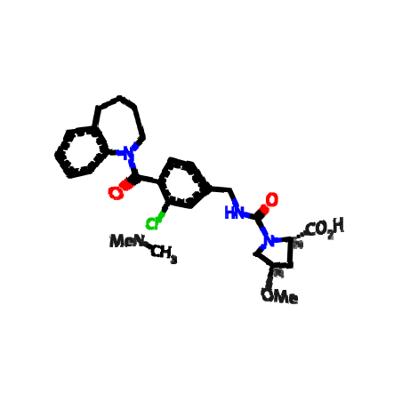 CNC.CO[C@@H]1C[C@@H](C(=O)O)N(C(=O)NCc2ccc(C(=O)N3CCCCc4ccccc43)c(Cl)c2)C1